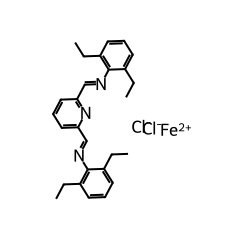 CCc1cccc(CC)c1N=Cc1cccc(C=Nc2c(CC)cccc2CC)n1.[Cl-].[Cl-].[Fe+2]